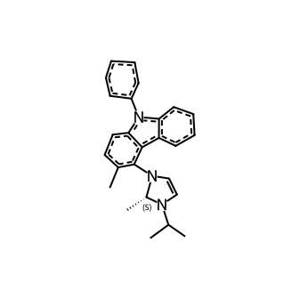 Cc1ccc2c(c1N1C=CN(C(C)C)[C@@H]1C)c1ccccc1n2-c1ccccc1